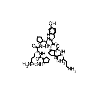 CC(=O)N[C@H]1CCC[C@@H]1C(=O)N[C@H](CCCCN)C(=O)N[C@H]1CCC[C@@H]1C(=O)N[C@H](Cc1ccc(O)cc1)C(=O)N[C@H]1CCC[C@@H]1C(=O)N[C@H](CCCCN)C(N)=O